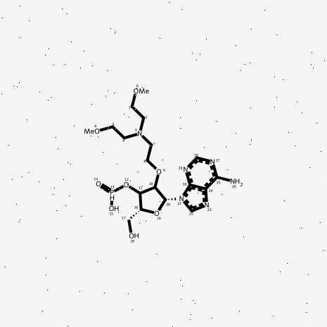 COCCN(CCOC)CCOC1C(O[PH](=O)O)[C@@H](CO)O[C@H]1n1cnc2c(N)ncnc21